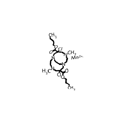 CCCCOC(=O)C1(Cl)CN(C)CCN2CCN(CCN(C)CC(Cl)(C(=O)OCCCC)C2)C1.[Mn+2]